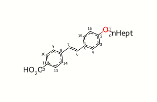 CCCCCCCOc1ccc(C=Cc2ccc(C(=O)O)cc2)cc1